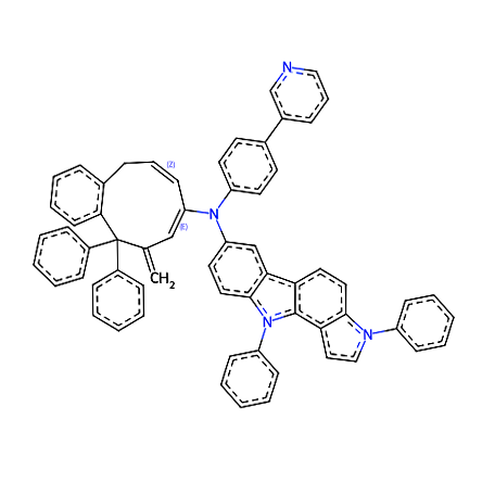 C=C1/C=C(N(c2ccc(-c3cccnc3)cc2)c2ccc3c(c2)c2ccc4c(ccn4-c4ccccc4)c2n3-c2ccccc2)\C=C/Cc2ccccc2C1(c1ccccc1)c1ccccc1